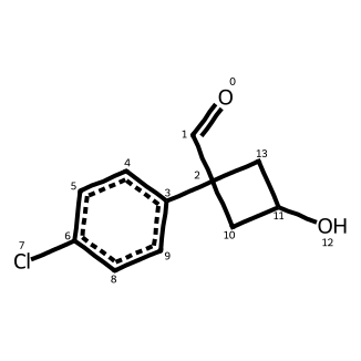 O=CC1(c2ccc(Cl)cc2)CC(O)C1